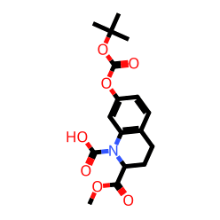 COC(=O)C1CCc2ccc(OC(=O)OC(C)(C)C)cc2N1C(=O)O